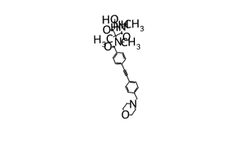 CNC(=O)C(C)(C(=O)NO)N(C)C(=O)c1ccc(C#Cc2ccc(CN3CCOCC3)cc2)cc1